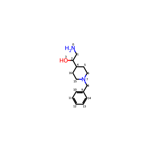 NCC(O)C1CCN(Cc2ccccc2)CC1